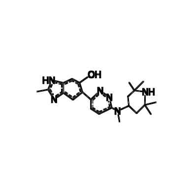 Cc1nc2cc(-c3ccc(N(C)C4CC(C)(C)NC(C)(C)C4)nn3)c(O)cc2[nH]1